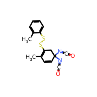 CC1=C(SSc2ccccc2C)CC(N=C=O)(N=C=O)C=C1